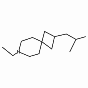 CCN1CCC2(CC1)CC(CC(C)C)C2